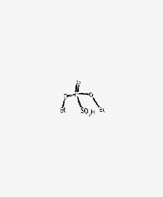 CCOP(=O)(OCC)S(=O)(=O)O